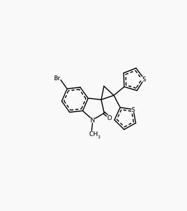 CN1C(=O)C2(CC2(c2ccsc2)c2cccs2)c2cc(Br)ccc21